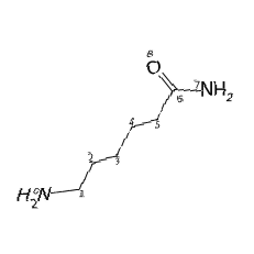 NCCCCCC(N)=O